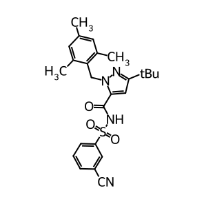 Cc1cc(C)c(Cn2nc(C(C)(C)C)cc2C(=O)NS(=O)(=O)c2cccc(C#N)c2)c(C)c1